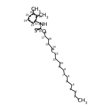 CCCCCCCCCCCCCCCCCCOC(=S)Nc1cccc(C)c1C